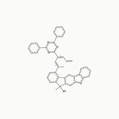 C=C/C=C(\C=C(/C)c1cccc2c1-c1cc3c(cc1C2(C)C(C)C)oc1ccccc13)c1nc(-c2ccccc2)nc(-c2ccccc2)n1